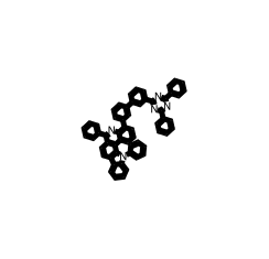 c1ccc(-c2nc(-c3ccccc3)nc(-c3cccc(-c4cccc(-c5cccc6c5nc(-c5ccccc5)c5ccc7c8ccccc8n(-c8ccccc8)c7c56)c4)c3)n2)cc1